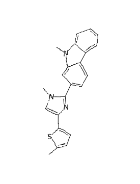 Cc1ccc(-c2cn(C)c(-c3ccc4c5ccccc5n(C)c4c3)n2)s1